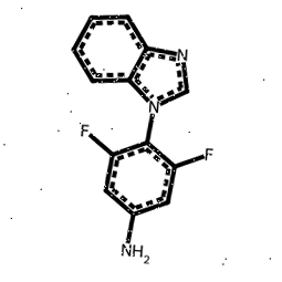 Nc1cc(F)c(-n2cnc3ccccc32)c(F)c1